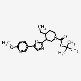 CCC1CCN(C(=O)OC(C)(C)C)CC1c1ncc(-c2ccc(OC)nc2)o1